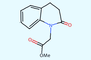 COC(=O)CN1C(=O)CCc2cc[c]cc21